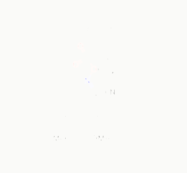 COc1ccc(C(C#N)=NOS(=O)(=O)c2c(C)cc(C)cc2C)cc1OC